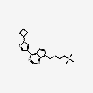 C[Si](C)(C)CCOCn1ccc2c(-c3cnn(C4CCC4)c3)ncnc21